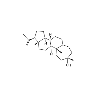 C=C(C)[C@H]1CC[C@H]2[C@@H]3CCC4CC[C@](C)(O)CC[C@]4(C)[C@H]3CC[C@]12C